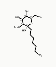 CC(=O)N[C@H]1[C@@H](O)[C@H](O)[C@@H](CO)O[C@@]1(O)CCCCCCN